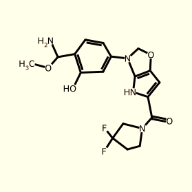 COC(N)c1ccc(N2COc3cc(C(=O)N4CCC(F)(F)C4)[nH]c32)cc1O